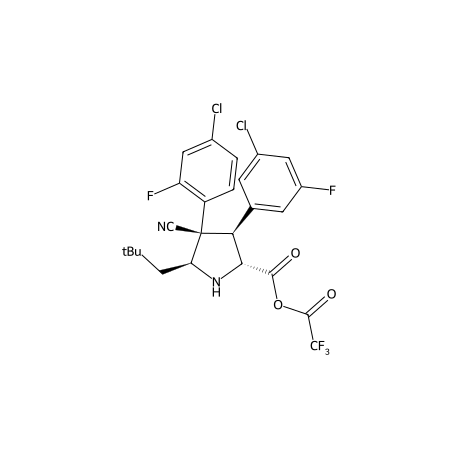 CC(C)(C)C[C@@H]1N[C@@H](C(=O)OC(=O)C(F)(F)F)[C@H](c2cc(F)cc(Cl)c2)[C@@]1(C#N)c1ccc(Cl)cc1F